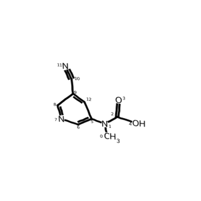 CN(C(=O)O)c1cncc(C#N)c1